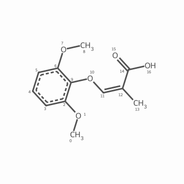 COc1cccc(OC)c1OC=C(C)C(=O)O